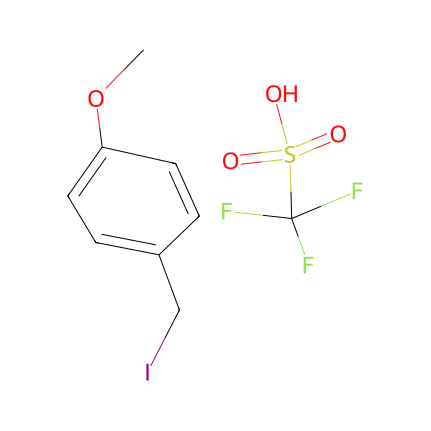 COc1ccc(CI)cc1.O=S(=O)(O)C(F)(F)F